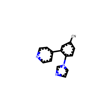 N#Cc1ccc(-n2ccnc2)c(-c2ccncc2)c1